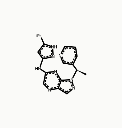 CC(C)c1cc(Nc2cnc3cnn([C@H](C)c4cccnc4)c3n2)n[nH]1